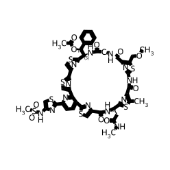 CNC(=O)C[C@@H]1NC(=O)c2csc(n2)-c2ccc(-c3nc(NS(C)(=O)=O)cs3)nc2-c2csc(n2)-c2csc(n2)[C@H]([C@@H](OC(C)=O)c2ccccc2)NC(=O)CNC(=O)c2nc(sc2COC)NC(=O)c2nc1sc2C